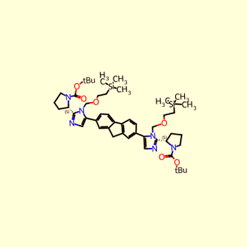 CC(C)(C)OC(=O)N1CCC[C@H]1c1ncc(-c2ccc3c(c2)Cc2cc(-c4cnc([C@@H]5CCCN5C(=O)OC(C)(C)C)n4COCC[Si](C)(C)C)ccc2-3)n1COCC[Si](C)(C)C